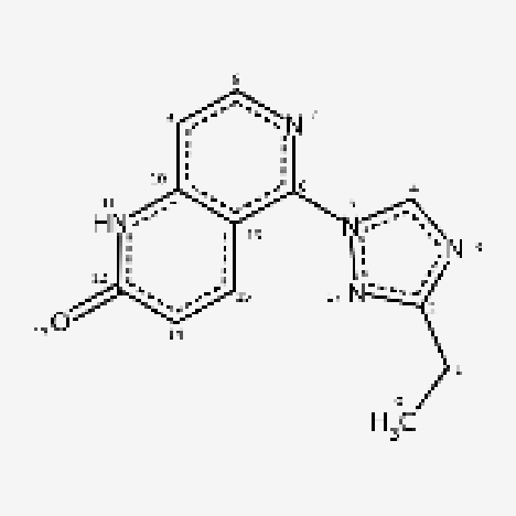 CCc1ncn(-c2nccc3[nH]c(=O)ccc23)n1